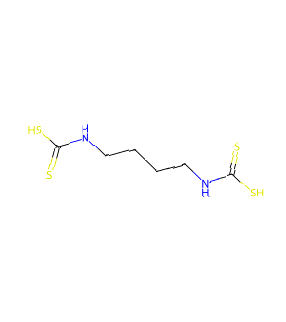 S=C(S)NCCCCNC(=S)S